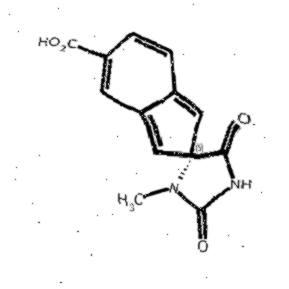 CN1C(=O)NC(=O)[C@@]12C=c1ccc(C(=O)O)cc1=C2